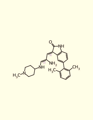 Cc1cccc(C)c1-c1ccc2c(c1)/C(=C\C(N)=C\NC1CCN(C)CC1)C(=O)N2